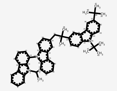 CC(C)n1c2ccccc2c2cccc(-n3c4ccccc4c4cc(CC(C)(C)c5ccc6c(c5)c5cc(C(C)(C)C)ccc5n6C(C)(C)C)ccc43)c21